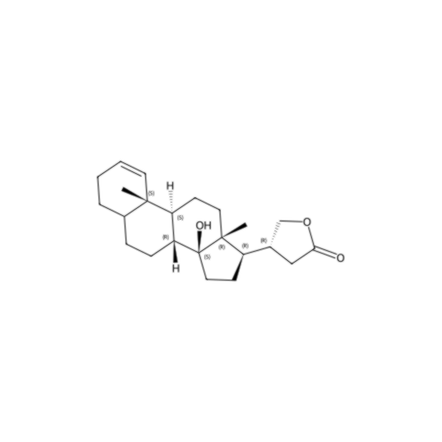 C[C@]12C=CCCC1CC[C@@H]1[C@@H]2CC[C@]2(C)[C@@H]([C@@H]3COC(=O)C3)CC[C@]12O